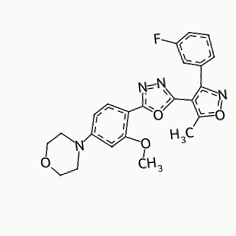 COc1cc(N2CCOCC2)ccc1-c1nnc(-c2c(-c3cccc(F)c3)noc2C)o1